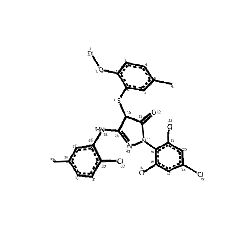 CCOc1ccc(C)cc1SC1C(=O)N(c2c(Cl)cc(Cl)cc2Cl)N=C1Nc1cc(C)ccc1Cl